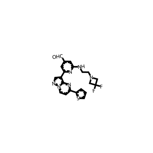 O=Cc1cc(NCCN2CC(F)(F)C2)nc(-c2cnn3ccc(-c4cccs4)nc23)c1